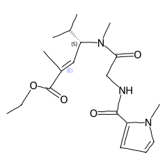 CCOC(=O)/C(C)=C/[C@H](C(C)C)N(C)C(=O)CNC(=O)c1cccn1C